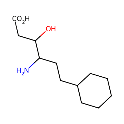 NC(CCC1CCCCC1)C(O)CC(=O)O